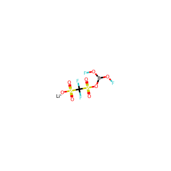 O=S(=O)([O-])C(F)(F)S(=O)(=O)OB(OF)OF.[Li+]